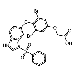 O=C(O)COc1cc(Br)c(Oc2ccc3[nH]cc(S(=O)(=O)c4ccccc4)c3c2)c(Br)c1